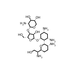 N[C@@H]1C[C@H](N)C([C@H]2O[C@H]([C@@H](N)CO)CC[C@H]2N)[C@H](O[C@@H]2O[C@H](CO)[C@@H](O[C@H]3OC[C@@H](O)[C@H](O)[C@H]3N)[C@H]2O)C1